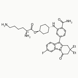 CCC1(CC)CC(=O)n2c(c(-c3ccc(C(N)=O)c(N[C@H]4CC[C@H](OC(=O)[C@@H](N)CCCCN)CC4)c3)c3ccc(F)cc32)C1